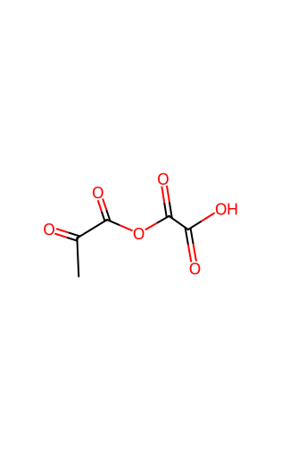 CC(=O)C(=O)OC(=O)C(=O)O